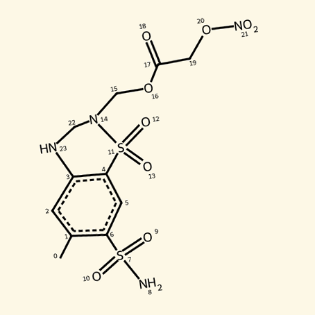 Cc1cc2c(cc1S(N)(=O)=O)S(=O)(=O)N(COC(=O)CO[N+](=O)[O-])CN2